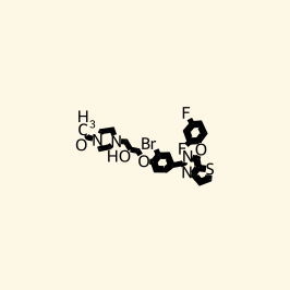 CC(=O)N1CCN(CC(O)COc2ccc(-c3nc(Oc4ccc(F)cc4F)c4sccc4n3)cc2Br)CC1